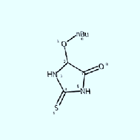 CCCCOC1NC(=S)NC1=O